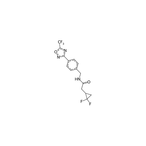 O=C(CC1CC1(F)F)NCc1ccc(-c2noc(C(F)(F)F)n2)cc1